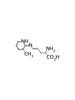 Cc1ccc[nH]/c1=N/C=C/CC(N)C(=O)O